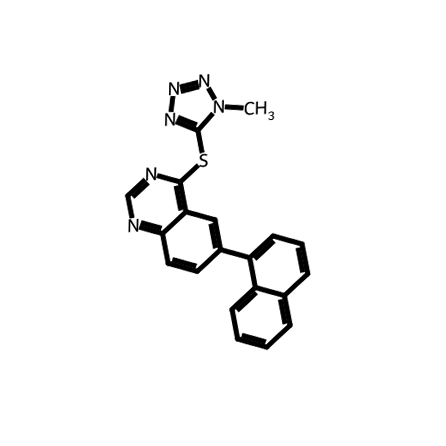 Cn1nnnc1Sc1ncnc2ccc(-c3cccc4ccccc34)cc12